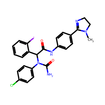 CN1CCN=C1c1ccc(NC(=O)C(c2ccccc2I)N(C(N)=O)c2ccc(Cl)cc2)cc1